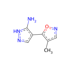 Cc1cnoc1-c1cn[nH]c1N